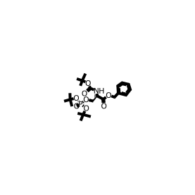 CC(C)(C)OC(=O)N[C@H](COP(=O)(OC(C)(C)C)OC(C)(C)C)C(=O)OCc1ccccc1